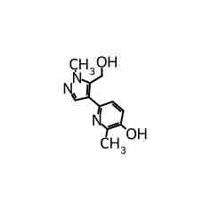 Cc1nc(-c2cnn(C)c2CO)ccc1O